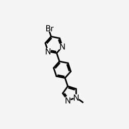 Cn1cc(-c2ccc(-c3ncc(Br)cn3)cc2)cn1